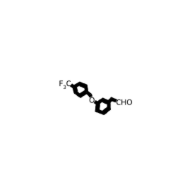 O=CCc1cccc(OCc2ccc(C(F)(F)F)cc2)c1